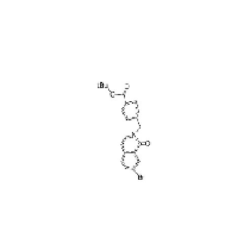 CC(C)(C)OC(=O)c1ccc(Cn2ccc3ccc(Br)cc3c2=O)cc1